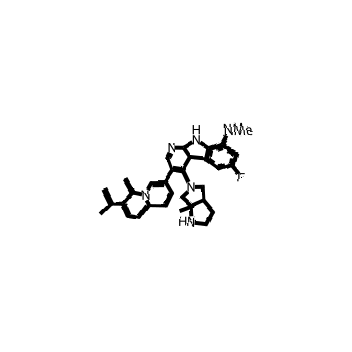 C=C(C)C1=CC=C2C=CC(C3=C(N4CC5CCNC5(C)C4)C4c5cc(F)cc(NC)c5NC4N=C3)=CN2C1=C